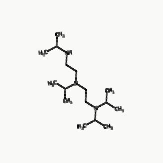 CC(C)NCCN(CCN(C(C)C)C(C)C)C(C)C